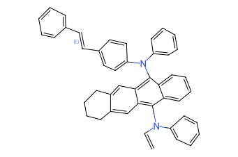 C=CN(c1ccccc1)c1c2ccccc2c(N(c2ccccc2)c2ccc(/C=C/c3ccccc3)cc2)c2cc3c(cc12)CCCC3